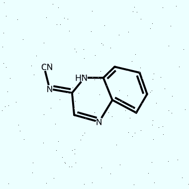 N#CN=c1cnc2ccccc2[nH]1